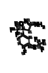 NC1=NOC(c2ccc(F)c(SC(F)(F)F)c2)(C(F)(F)F)C1